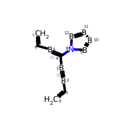 C=C/B=B\C(=B/C=C)n1bbbb1